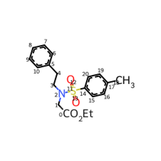 CCOC(=O)CN(CCc1ccccc1)S(=O)(=O)c1ccc(C)cc1